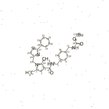 Cc1cc(C(=O)NCc2ccc(CNC(=O)OC(C)(C)C)cc2)c(C)n1Cc1csc(-c2ccccc2)n1